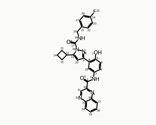 O=C(Nc1ccc(O)c(-c2cc(C3CCC3)n(C(=O)NCc3ccc(F)cc3)n2)c1)c1cnc2ccccc2n1